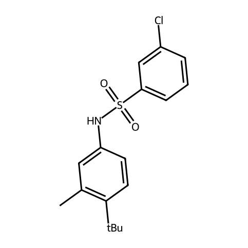 Cc1cc(NS(=O)(=O)c2cccc(Cl)c2)ccc1C(C)(C)C